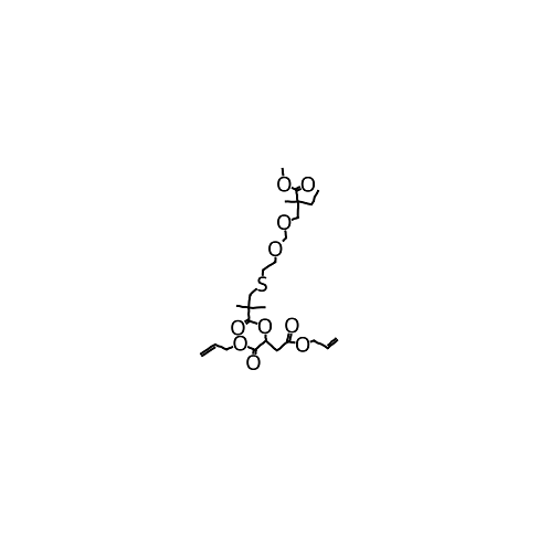 C=CCOC(=O)CC(OC(=O)C(C)(C)CSCCOCOCC(C)(CC)C(=O)OC)C(=O)OCC=C